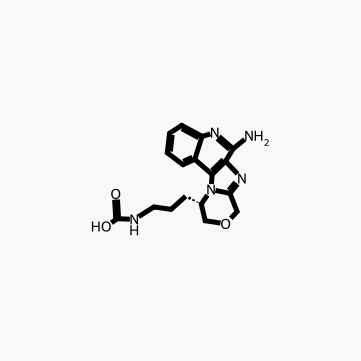 Nc1nc2ccccc2c2c1nc1n2[C@@H](CCCNC(=O)O)COC1